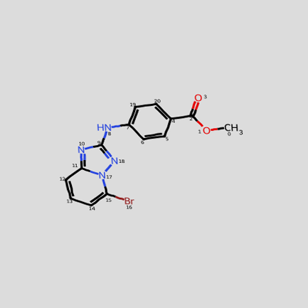 COC(=O)c1ccc(Nc2nc3cccc(Br)n3n2)cc1